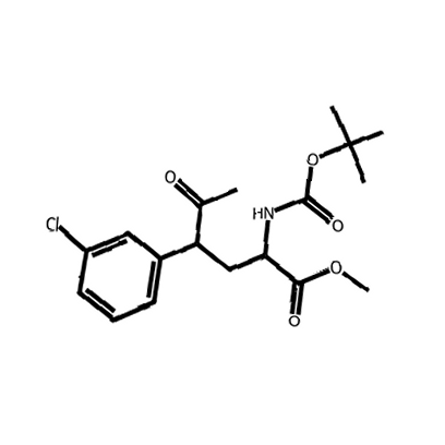 COC(=O)C(CC(C(C)=O)c1cccc(Cl)c1)NC(=O)OC(C)(C)C